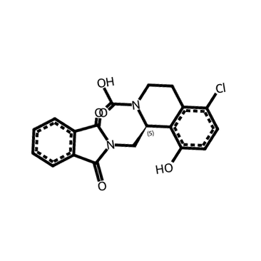 O=C1c2ccccc2C(=O)N1C[C@@H]1c2c(O)ccc(Cl)c2CCN1C(=O)O